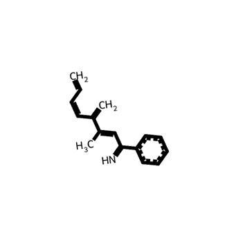 C=C/C=C\C(=C)/C(C)=C/C(=N)c1ccccc1